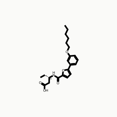 CCCCCCOc1cccc(-c2ccc(C(=O)N[C@@H](CC)CC(=O)O)o2)c1